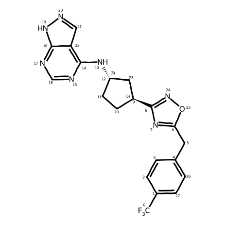 FC(F)(F)c1ccc(Cc2nc([C@H]3CC[C@H](Nc4ncnc5[nH]ncc45)C3)no2)cc1